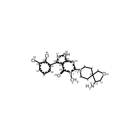 Cn1c(N2CCC3(CC2)COC[C@H]3N)nc2[nH]nc(-c3cccc(Cl)c3Cl)c2c1=O